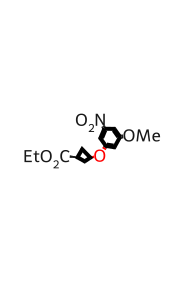 CCOC(=O)[C@H]1C[C@@H](Oc2cc(OC)cc([N+](=O)[O-])c2)C1